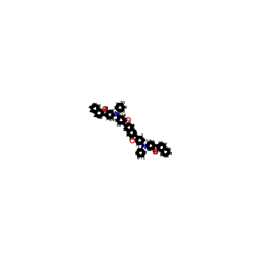 c1ccc(N(c2ccc3c(c2)oc2cc4cc5c(cc4cc23)oc2cc(N(c3ccccc3)c3ccc4c(c3)oc3c6ccccc6ccc43)ccc25)c2ccc3c(c2)oc2c4ccccc4ccc32)cc1